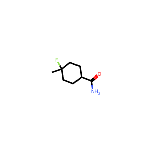 CC1(F)CCC(C(N)=O)CC1